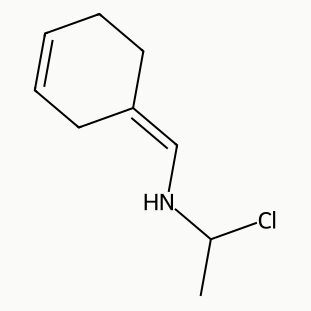 CC(Cl)NC=C1CC=CCC1